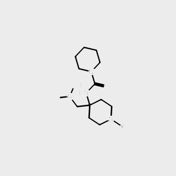 CC(C)N1CCC(CN(C)C)(NC(=O)N2CCCCC2)CC1